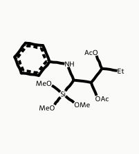 CCC(OC(C)=O)C(OC(C)=O)C(Nc1ccccc1)[Si](OC)(OC)OC